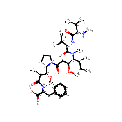 CC[C@H](C)[C@@H](C(CC(=O)N1CCC[C@H]1[C@H](OC)C(C)C(=O)NC(Cc1ccccc1)C(=O)O)OC)N(C)C(=O)[C@@H](NC(=O)[C@@H](NC)C(C)C)C(C)C